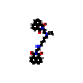 CN(CCCCCNCCN1C(=O)c2cccc3cccc(c23)C1=O)CCN1C(=O)c2cccc3cccc(c23)C1=O